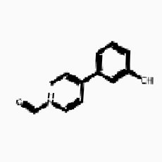 C/C=C(\C=C/NC=O)c1cccc(O)c1